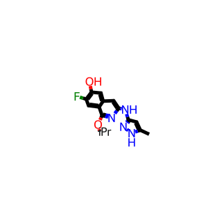 Cc1cc(Nc2cc3cc(O)c(F)cc3c(OC(C)C)n2)n[nH]1